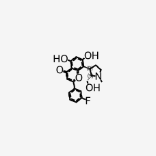 CN1CC[C@H](c2c(O)cc(O)c3c(=O)cc(-c4cccc(F)c4)oc23)[C@H]1CO